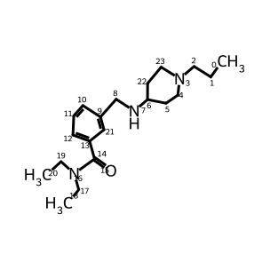 CCCN1CCC(NCc2cccc(C(=O)N(CC)CC)c2)CC1